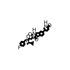 CC(C1CC1)N(Cc1ccc(F)cc1)C(=O)CN1C(=O)NC2(Cc3ccc(-c4ccc(=O)[nH]c4)cc3C2)C1=O